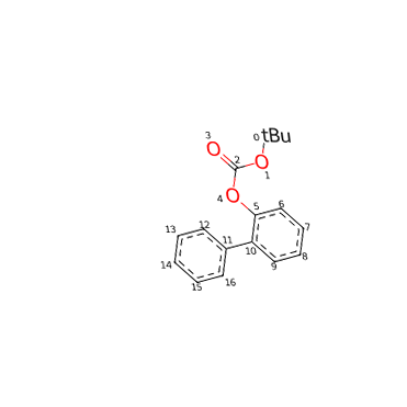 CC(C)(C)OC(=O)Oc1ccccc1-c1ccccc1